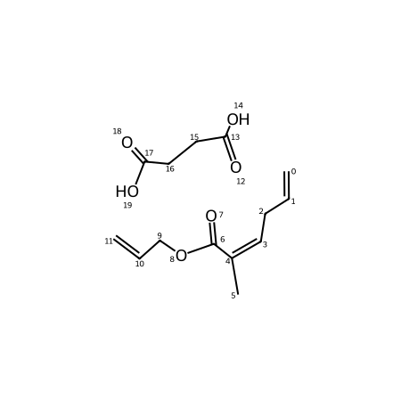 C=CCC=C(C)C(=O)OCC=C.O=C(O)CCC(=O)O